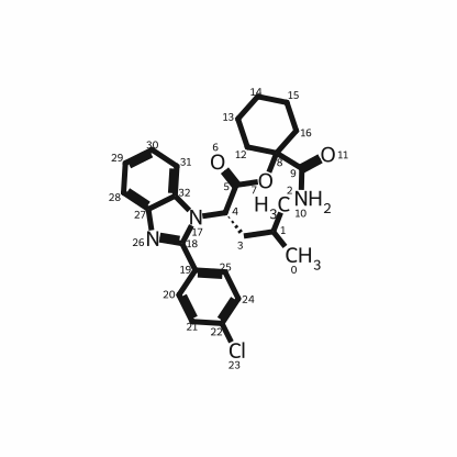 CC(C)C[C@@H](C(=O)OC1(C(N)=O)CCCCC1)n1c(-c2ccc(Cl)cc2)nc2ccccc21